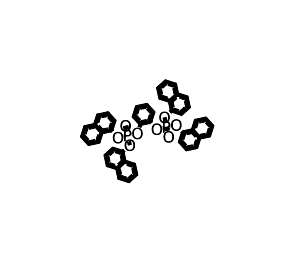 O=P(Oc1ccccc1OP(=O)(Oc1cccc2ccccc12)Oc1cccc2ccccc12)(Oc1cccc2ccccc12)Oc1cccc2ccccc12